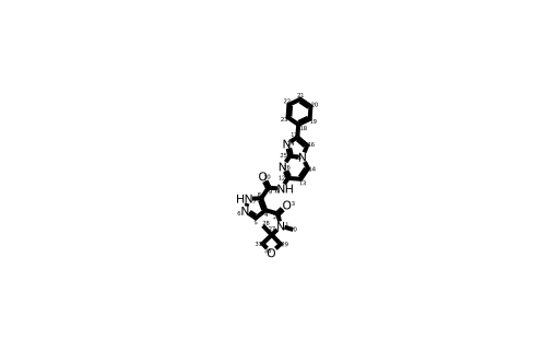 CN(C(=O)c1cn[nH]c1C(=O)Nc1ccn2cc(-c3ccccc3)nc2n1)C1(C)COC1